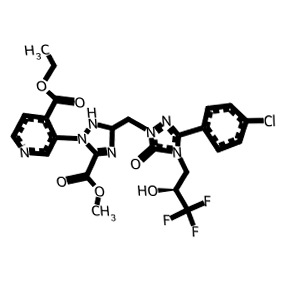 CCOC(=O)c1ccncc1N1NC(Cn2nc(-c3ccc(Cl)cc3)n(C[C@H](O)C(F)(F)F)c2=O)N=C1C(=O)OC